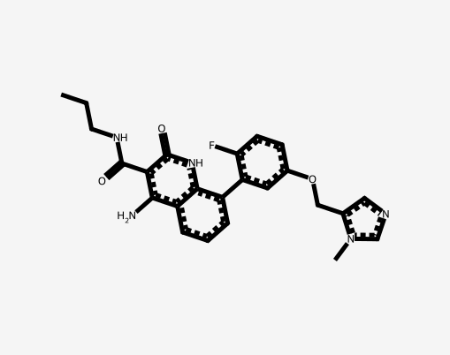 CCCNC(=O)c1c(N)c2cccc(-c3cc(OCc4cncn4C)ccc3F)c2[nH]c1=O